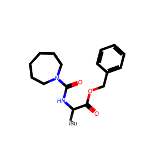 CCC(C)C(NC(=O)N1CCCCCC1)C(=O)OCc1ccccc1